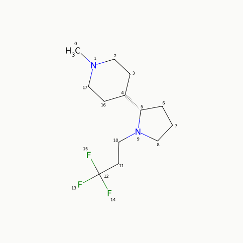 CN1CCC([C@@H]2CCCN2CCC(F)(F)F)CC1